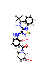 CC(C)(C)C(Nc1nsnc1Nc1cccc(C(=O)N2CCCC(O)C2)c1O)c1ccccc1